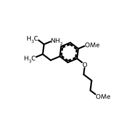 COCCCOc1cc(CC(C)C(C)N)ccc1OC